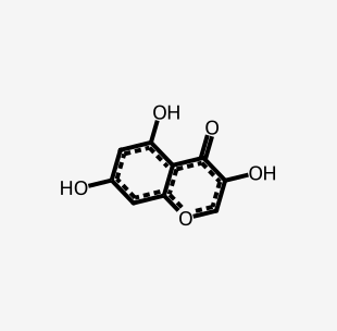 O=c1c(O)coc2cc(O)cc(O)c12